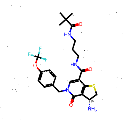 CC(C)(C)C(=O)NCCCNC(=O)c1cn(Cc2ccc(OC(F)(F)F)cc2)c(=O)c2c1SC[C@@H]2N